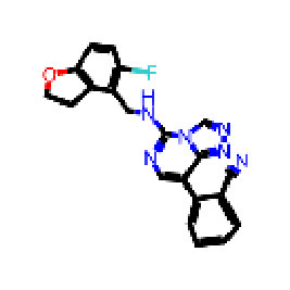 N#Cc1ccccc1-c1cnc(NCc2c(F)ccc3c2CCO3)n2cnnc12